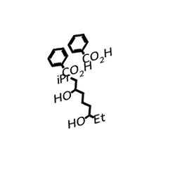 CCC(O)CCCC(O)CC(C)C.O=C(O)c1ccccc1.O=C(O)c1ccccc1